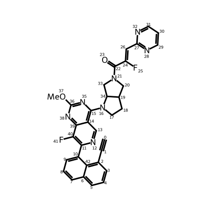 C#Cc1cccc2cccc(-c3ncc4c(N5CCC6CN(C(=O)/C(F)=C/c7ncccn7)CC65)nc(OC)nc4c3F)c12